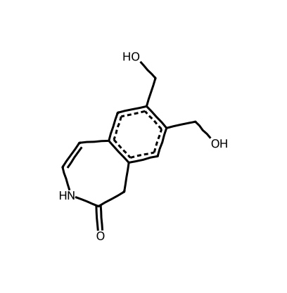 O=C1Cc2cc(CO)c(CO)cc2C=CN1